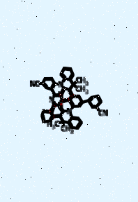 CC1(C)c2ccccc2N(c2ccc(C#N)cc2-c2nc(-c3ccccc3)nc(-c3ccc(-c4cccc(C#N)c4)cc3N3c4ccccc4C(C)(C)c4ccccc43)n2)c2ccccc21